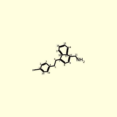 Cc1ccc(CCc2ccc(CN)c3ccccc23)cc1